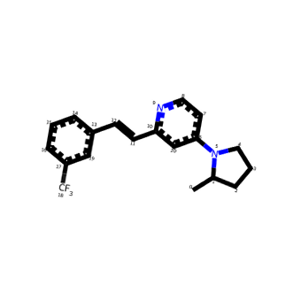 CC1CCCN1c1ccnc(C=Cc2cccc(C(F)(F)F)c2)c1